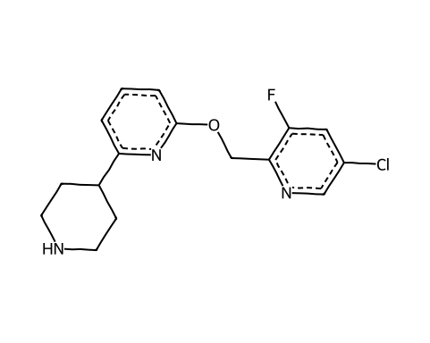 Fc1cc(Cl)cnc1COc1cccc(C2CCNCC2)n1